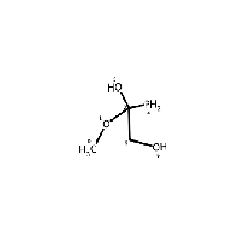 COC(O)(P)CO